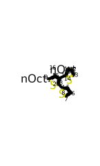 CCCCCCCCc1sc(-c2cccs2)c(-c2cccs2)c1CCCCCCCC